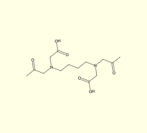 CC(=O)CN(CCCCN(CC(C)=O)CC(=O)O)CC(=O)O